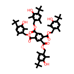 Cc1cc(C(C)(C)C)c(O)c(C)c1COC(=O)c1cc(C(=O)OCc2c(C)cc(C(C)(C)C)c(O)c2C)c(C(=O)OCc2c(C)cc(C(C)(C)C)c(O)c2C)cc1C(=O)OCc1c(C)cc(C(C)(C)C)c(O)c1C